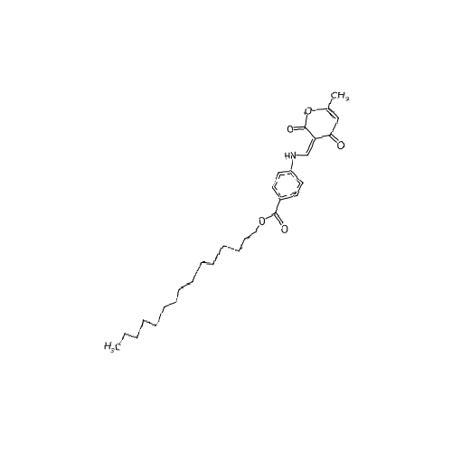 CCCCCCCCCCCCCCCOC(=O)c1ccc(NC=C2C(=O)C=C(C)OC2=O)cc1